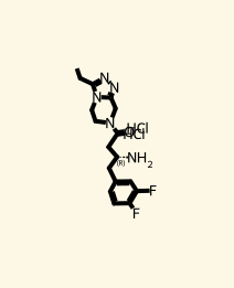 CCc1nnc2n1CCN(C(=O)C[C@H](N)Cc1ccc(F)c(F)c1)C2.Cl.Cl